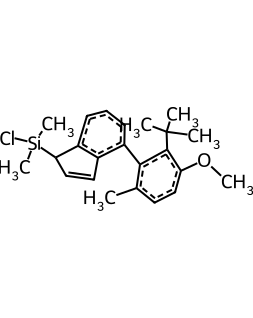 COc1ccc(C)c(-c2cccc3c2C=CC3[Si](C)(C)Cl)c1C(C)(C)C